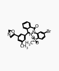 Cc1cc(-c2cnco2)cc(-c2nn(-c3cc(Br)ccc3S(C)(=O)=O)c(=O)c3ccccc23)c1